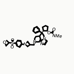 CNC(=O)O[C@H]1CCC[C@@H]1C(Cn1ccnc1)(c1ccccc1)C1CCN(CC2CN(c3ccc(S(=O)(=O)C4COC4)cc3)C2)CC1